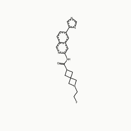 O=C(Nc1cc2cc(-c3cncs3)ccc2cn1)C1CC2(C1)CN(CCF)C2